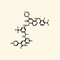 Cc1nc(N[C@H](C)c2cc(NCn3c(=O)c(N4CCOCC4)cc4c(N[C@H](C)c5cccc(C(F)F)c5F)ncnc43)cc(C(F)(F)F)c2)c2cc(C3=CCNCC3)c(=O)[nH]c2n1